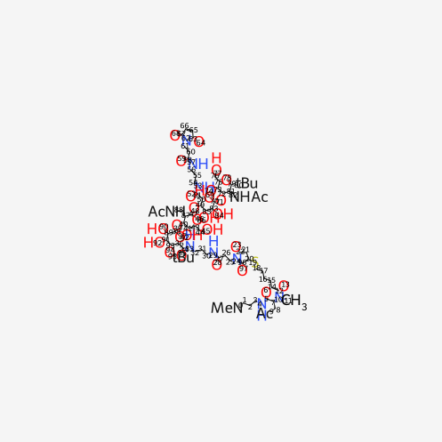 CNCCCNC(=O)[C@H](CC(C)=O)N(C)C(=O)CCCCCSC1CC(=O)N(CCC(=O)NCCCNC(=O)C2OC(OC3C(O)C(CO)OC(OC4C(C(=O)NCCCNC(=O)CCN5C(=O)C=CC5=O)OC(OC5C(O)C(CO)OC(C(C)(C)C)C5NC(C)=O)C(O)C4O)C3NC(C)=O)C(O)C(O)C2OC(C)(C)C)C1=O